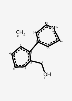 C.OCc1ccccc1-c1ccncc1